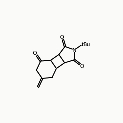 C=C1CC(=O)C2C(C1)C1C(=O)N(C(C)(C)C)C(=O)C21